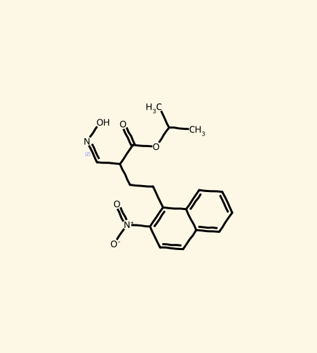 CC(C)OC(=O)C(/C=N\O)CCc1c([N+](=O)[O-])ccc2ccccc12